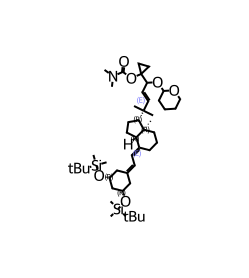 CN(C)C(=O)OC1(C(/C=C/C(C)(C)[C@H]2CC[C@H]3/C(=C/C=C4C[C@@H](O[Si](C)(C)C(C)(C)C)C[C@H](O[Si](C)(C)C(C)(C)C)C4)CCC[C@]23C)OC2CCCCO2)CC1